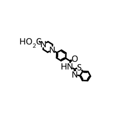 O=C(Nc1nc2ccccc2s1)c1ccc(N2CCN(C(=O)O)CC2)cc1